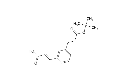 CC(C)(C)OC(=O)CCc1cccc(C=CC(=O)O)c1